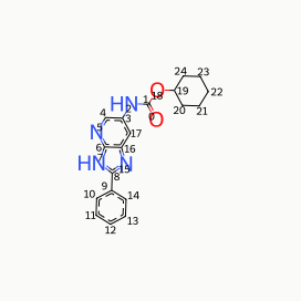 O=C(Nc1cnc2[nH]c(-c3ccccc3)nc2c1)OC1CCCCC1